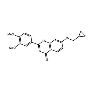 COc1ccc(-c2cc(=O)c3ccc(OCC4CO4)cc3o2)cc1OC